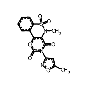 Cc1cc(-n2c(=O)oc3c(c2=O)N(C)S(=O)(=O)c2ccccc2-3)no1